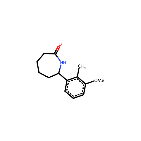 COc1cccc(C2CCCCC(=O)N2)c1C